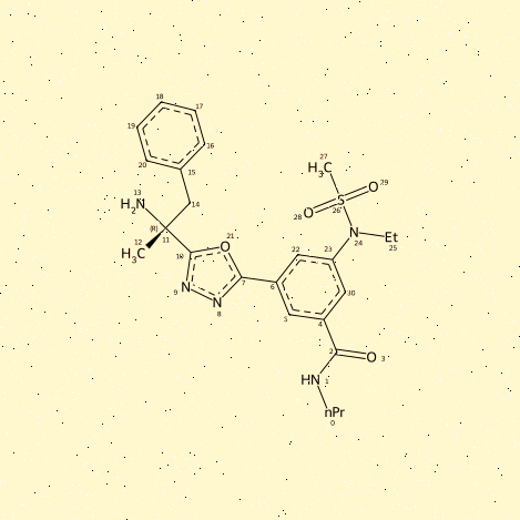 CCCNC(=O)c1cc(-c2nnc([C@](C)(N)Cc3ccccc3)o2)cc(N(CC)S(C)(=O)=O)c1